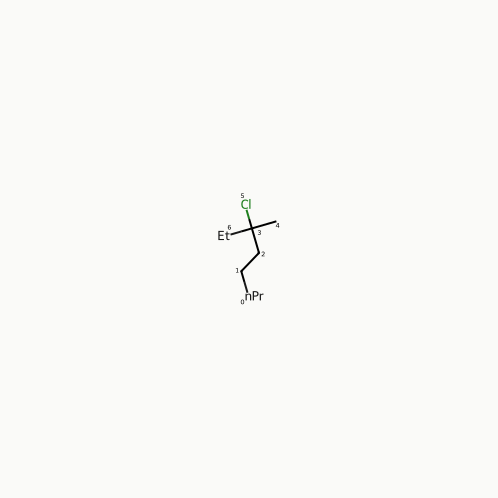 CCCCCC(C)(Cl)CC